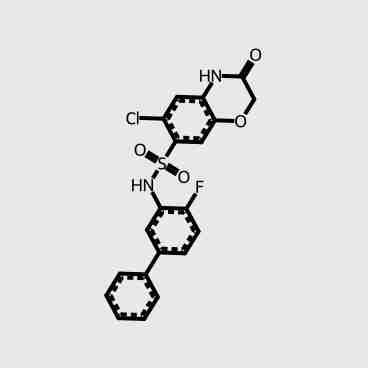 O=C1COc2cc(S(=O)(=O)Nc3cc(-c4ccccc4)ccc3F)c(Cl)cc2N1